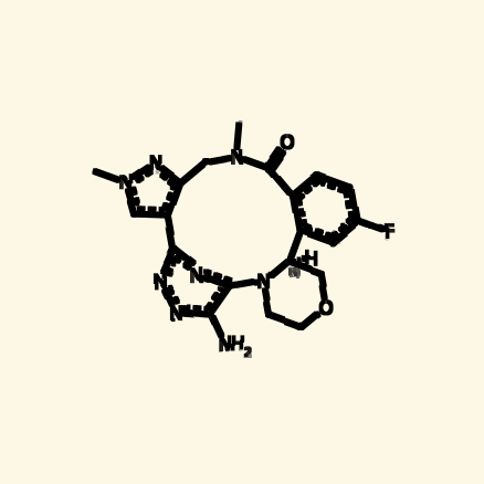 CN1Cc2nn(C)cc2-c2nnc(N)c(n2)N2CCOC[C@@H]2c2cc(F)ccc2C1=O